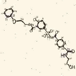 O=C(NS(=O)(=O)c1ccc(Cl)c(C(=O)NCCOc2ccccc2)c1)c1ccc(C(=O)NCCO)nc1